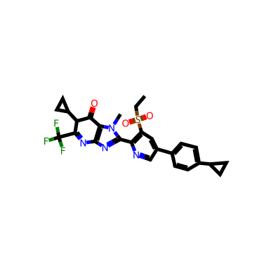 CCS(=O)(=O)c1cc(-c2ccc(C3CC3)cc2)cnc1-c1nc2c(n1C)C(=O)C(C1CC1)C(C(F)(F)F)=N2